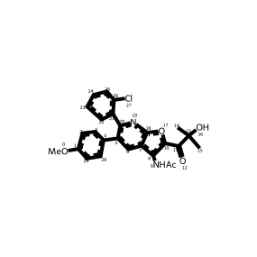 COc1ccc(-c2cc3c(NC(C)=O)c(C(=O)C(C)(C)O)oc3nc2-c2ccccc2Cl)cc1